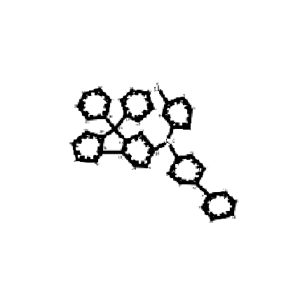 Clc1cccc(N(c2ccc(-c3ccccc3)cc2)c2ccc3c(c2)C(c2ccccc2)(c2ccccc2)c2ccccc2-3)c1